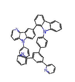 c1ccc(-n2c3ccc(-c4cccc5c6ccccc6n(-c6ccc(-c7cc(-c8ccccn8)cc(-c8ccccn8)c7)cc6)c45)cc3c3ncccc32)cc1